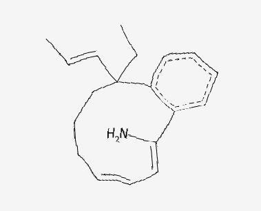 CC=CC1(CC)CCC/C=C\C=C(/N)c2ccccc21